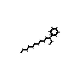 CCCCCCCCCCN(CC)c1ccccc1